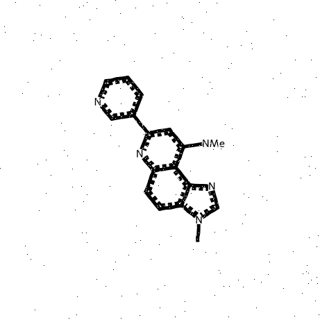 CNc1cc(-c2cccnc2)nc2ccc3c(ncn3C)c12